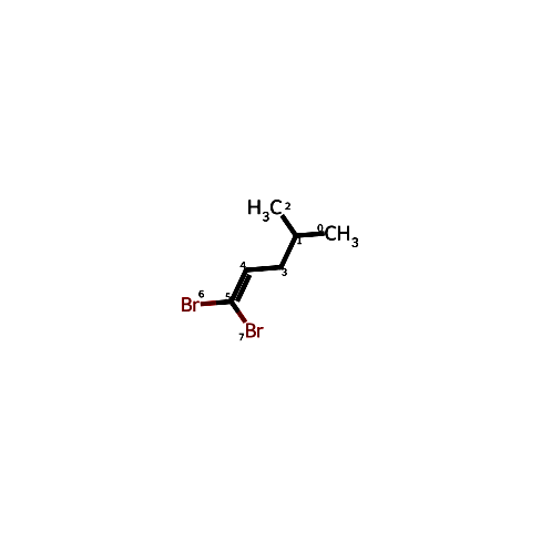 CC(C)CC=C(Br)Br